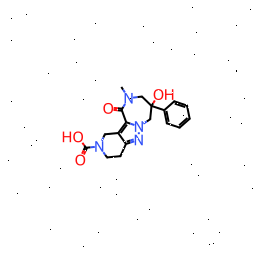 CN1CC(O)(c2ccccc2)Cn2nc3c(c2C1=O)CN(C(=O)O)CC3